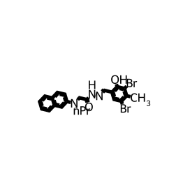 CCCN(CC(=O)N/N=C/c1cc(Br)c(C)c(Br)c1O)c1ccc2ccccc2c1